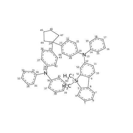 C[Si]1(C)c2ccccc2-c2ccc(N(c3ccccc3)c3ccc(C4(c5ccc(N(c6ccccc6)c6ccccc6)cc5)CCCC4)cc3)cc21